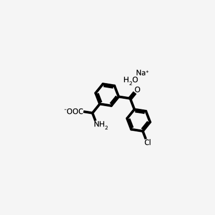 NC(C(=O)[O-])c1cccc(C(=O)c2ccc(Cl)cc2)c1.O.[Na+]